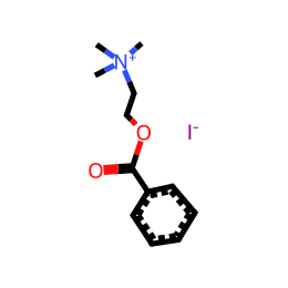 C[N+](C)(C)CCOC(=O)c1ccccc1.[I-]